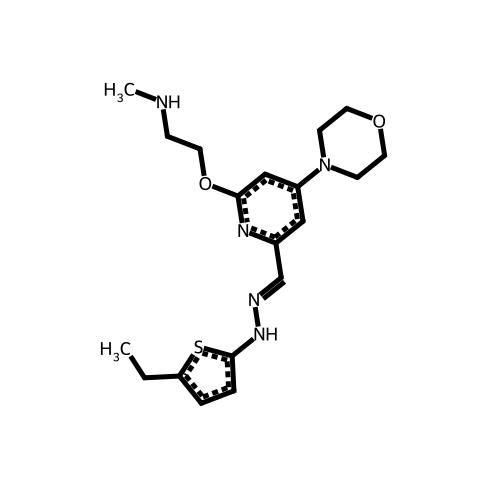 CCc1ccc(NN=Cc2cc(N3CCOCC3)cc(OCCNC)n2)s1